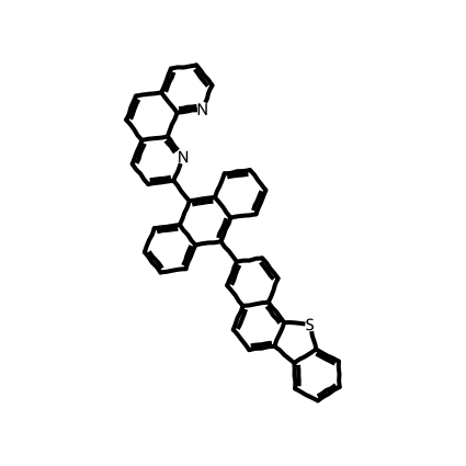 c1cnc2c(c1)ccc1ccc(-c3c4ccccc4c(-c4ccc5c(ccc6c7ccccc7sc56)c4)c4ccccc34)nc12